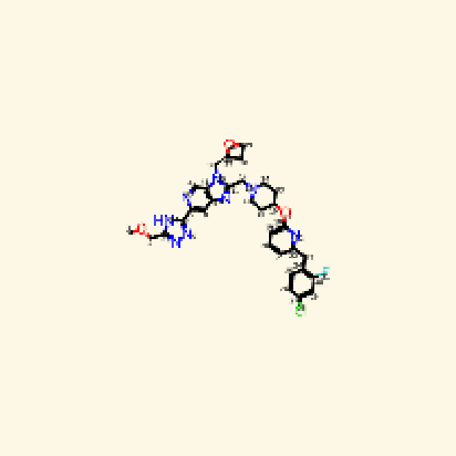 COCc1nnc(-c2cc3nc(CN4CCC(Oc5cccc(Cc6ccc(Cl)cc6F)n5)CC4)n(C[C@@H]4CCO4)c3cn2)[nH]1